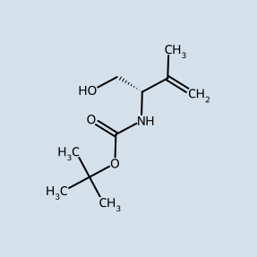 C=C(C)[C@@H](CO)NC(=O)OC(C)(C)C